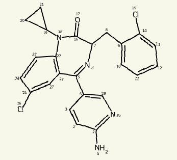 Nc1ccc(C2=NC(Cc3ccccc3Cl)C(=O)N(C3CC3)c3ccc(Cl)cc32)cn1